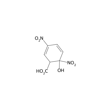 O=C(O)C1C=C([N+](=O)[O-])C=CC1(O)[N+](=O)[O-]